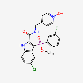 COP(=O)(c1cccc(F)c1)c1c(C(=O)NCc2cc[n+](O)cc2)[nH]c2ccc(Cl)cc12